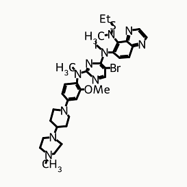 CCSN(C)c1c(N(I)c2nc(N(C)c3ccc(N4CCC(N5CCN(C)CC5)CC4)cc3OC)ncc2Br)ccc2nccnc12